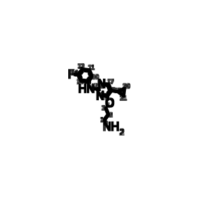 NCCCOc1nc(Nc2cccc(F)c2)ncc1C1CC1